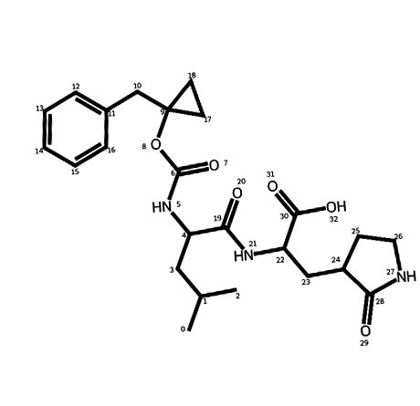 CC(C)CC(NC(=O)OC1(Cc2ccccc2)CC1)C(=O)NC(CC1CCNC1=O)C(=O)O